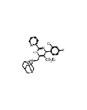 CCOC(=O)C1=C(CNC23CC4CC(CC(C4)C2)C3)NC(c2ccccn2)=NC1c1ccc(F)cc1Cl